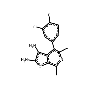 Cc1nc(C)c2oc(N)c(N)c2c1-c1ccc(F)c(Cl)c1